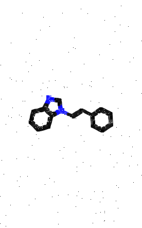 C(=C\n1cnc2ccccc21)/c1ccccc1